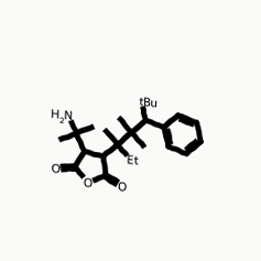 CCC(C)(C1C(=O)OC(=O)C1C(C)(C)N)C(C)(C)C(c1ccccc1)C(C)(C)C